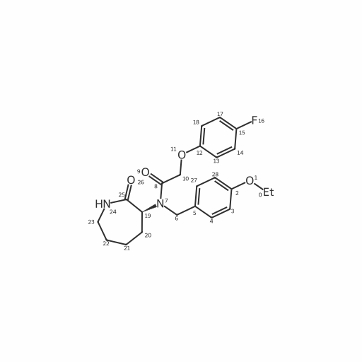 CCOc1ccc(CN(C(=O)COc2ccc(F)cc2)[C@H]2CCCCNC2=O)cc1